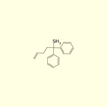 C=CCCC([SiH3])(c1ccccc1)c1ccccc1